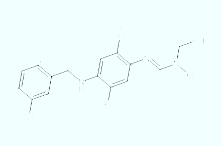 CCN(C)C=Nc1cc(C)c(NCc2cccc(Cl)c2)cc1Cl